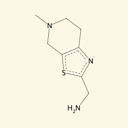 CN1CCc2nc(CN)sc2C1